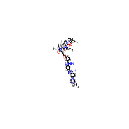 CC(=O)[C@H](C)N(C)C(=O)[C@H](C)N(C)C(=O)[C@H](C)N(C)C(=O)CCCOc1cccc(-c2nc3ccc(-c4nc5cc(N6CCN(C)CC6)ccc5[nH]4)cc3[nH]2)c1